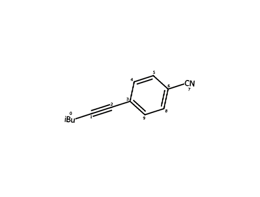 CCC(C)C#Cc1ccc(C#N)cc1